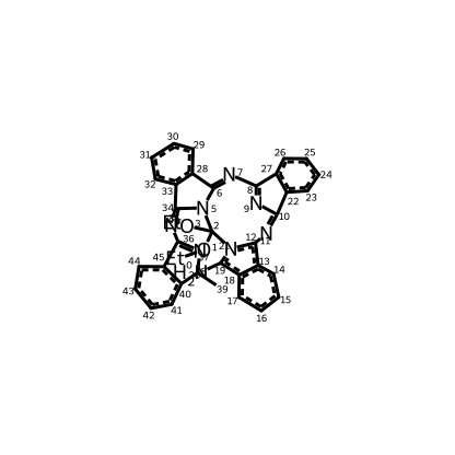 CCOC1(OCC)N2/C(=N\C3=NC(=N\c4c5ccccc5c(N)n41)/c1ccccc13)c1ccccc1/C2=N/C1=NC(C)c2ccccc21